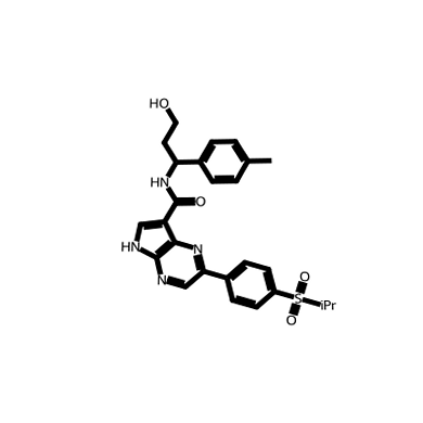 Cc1ccc(C(CCO)NC(=O)c2c[nH]c3ncc(-c4ccc(S(=O)(=O)C(C)C)cc4)nc23)cc1